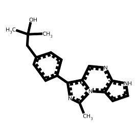 Cc1nc(-c2ccc(CC(C)(C)O)cc2)c2cnc3[nH]ccc3n12